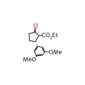 CCOC(=O)[C@@H]1C(=O)CC[C@H]1c1cc(OC)cc(OC)c1